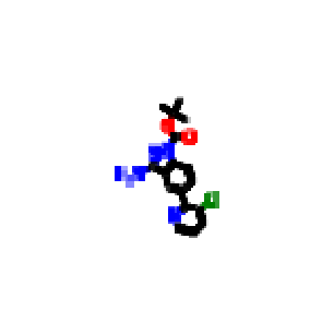 CC(C)(C)OC(=O)n1nc(N)c2cc(-c3ncccc3Cl)ccc21